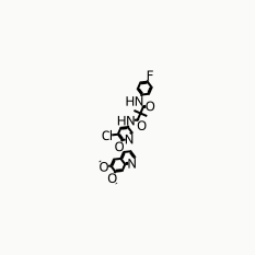 COc1cc2nccc(Oc3ncc(NC(=O)C(C)(C)C(=O)Nc4ccc(F)cc4)cc3Cl)c2cc1OC